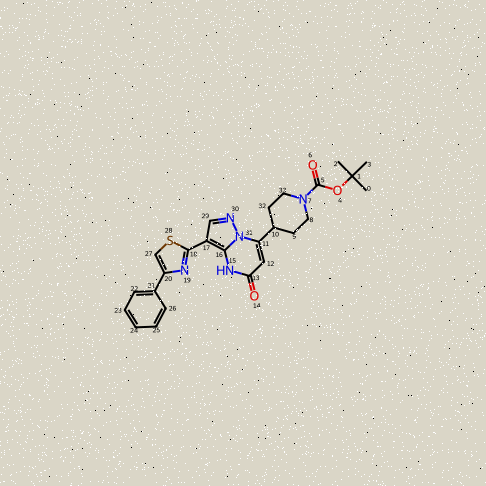 CC(C)(C)OC(=O)N1CCC(c2cc(=O)[nH]c3c(-c4nc(-c5ccccc5)cs4)cnn23)CC1